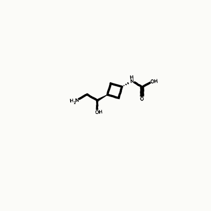 NCC(O)[C@H]1C[C@H](NC(=O)O)C1